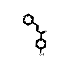 O=C(C=Cc1ccncc1)c1ccc(O)cc1